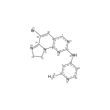 Cc1cc(Nc2ncc3c(n2)N2CCN=C2C(Br)=C3)ccn1